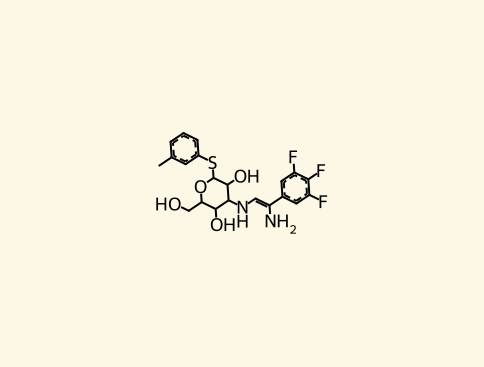 Cc1cccc(SC2OC(CO)C(O)C(N/C=C(\N)c3cc(F)c(F)c(F)c3)C2O)c1